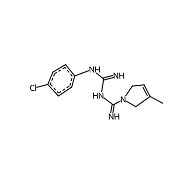 CC1=CCN(C(=N)NC(=N)Nc2ccc(Cl)cc2)C1